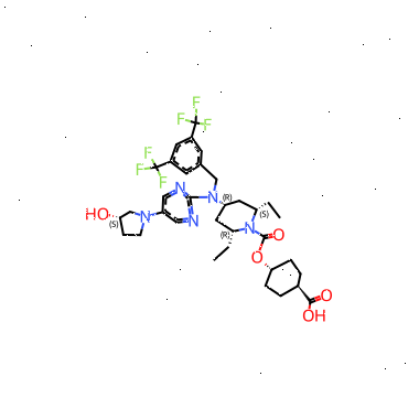 CC[C@@H]1C[C@H](N(Cc2cc(C(F)(F)F)cc(C(F)(F)F)c2)c2ncc(N3CC[C@H](O)C3)cn2)C[C@H](CC)N1C(=O)O[C@H]1CC[C@H](C(=O)O)CC1